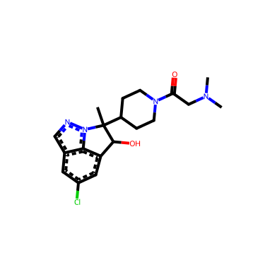 CN(C)CC(=O)N1CCC(C2(C)C(O)c3cc(Cl)cc4cnn2c34)CC1